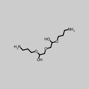 NCCCOC(O)COCC(O)OCCCN